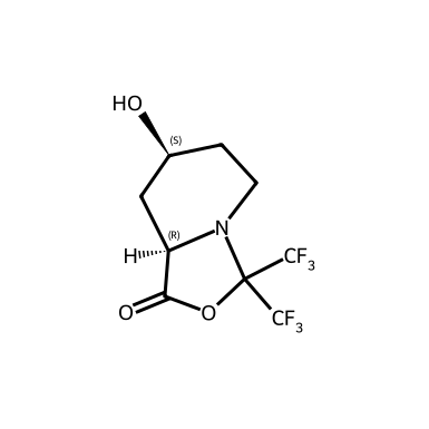 O=C1OC(C(F)(F)F)(C(F)(F)F)N2CC[C@H](O)C[C@H]12